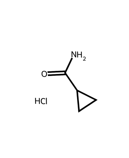 Cl.NC(=O)C1CC1